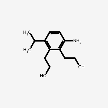 CC(C)c1ccc(N)c(CCO)c1CCO